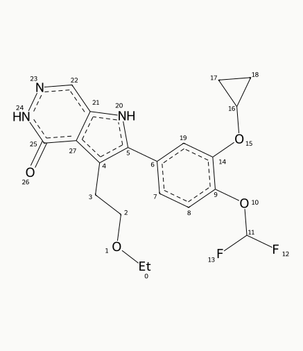 CCOCCc1c(-c2ccc(OC(F)F)c(OC3CC3)c2)[nH]c2cn[nH]c(=O)c12